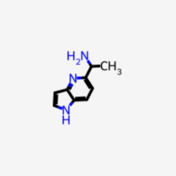 CC(N)c1ccc2[nH]ccc2n1